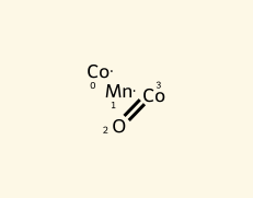 [Co].[Mn].[O]=[Co]